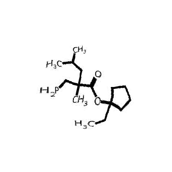 CCC1(OC(=O)C(C)(CP)CC(C)C)CCCC1